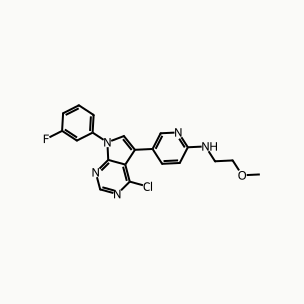 COCCNc1ccc(-c2cn(-c3cccc(F)c3)c3ncnc(Cl)c23)cn1